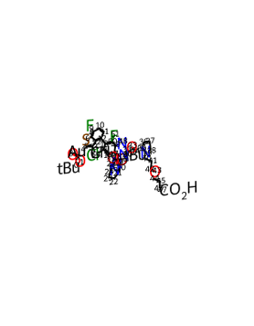 CC(C)(C)O[C](=O)[Au][c]1sc2c(F)ccc(-c3c(Cl)cc4c(N5CC6CCC(C5)N6C(=O)OC(C)(C)C)nc(OC[C@@H]5CCCN5CCCOCCCC(=O)O)nc4c3F)c2c1C#N